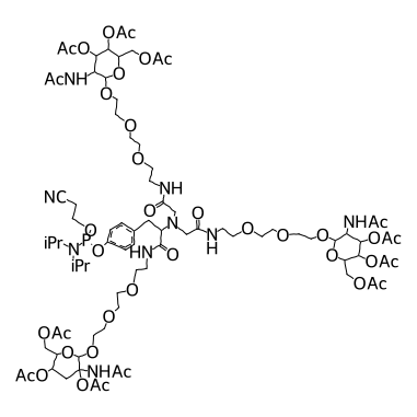 CC(=O)NC1C(OCCOCCOCCNC(=O)CN(CC(=O)NCCOCCOCCOC2OC(COC(C)=O)C(OC(C)=O)C(OC(C)=O)C2NC(C)=O)C(Cc2ccc(OP(OCCC#N)N(C(C)C)C(C)C)cc2)C(=O)NCCOCCOCCOC2OC(COC(C)=O)C(OC(C)=O)CC2(NC(C)=O)OC(C)=O)OC(COC(C)=O)C(OC(C)=O)C1OC(C)=O